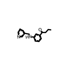 CCCC(=O)c1cccc(NCc2cccnc2)c1